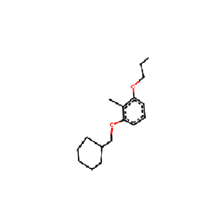 CCCOc1cccc(OCC2CCCCC2)c1C